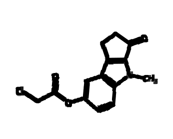 Cn1c2c(c3cc(OC(=O)CCl)ccc31)CCC2=O